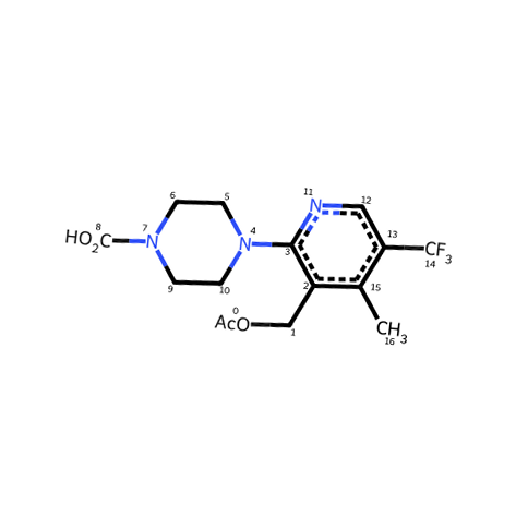 CC(=O)OCc1c(N2CCN(C(=O)O)CC2)ncc(C(F)(F)F)c1C